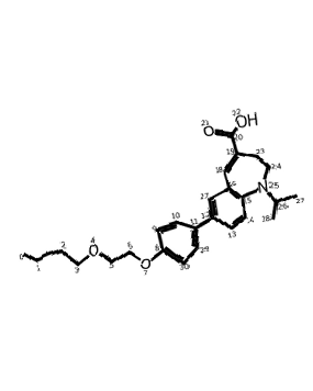 CCCCOCCOc1ccc(-c2ccc3c(c2)C=C(C(=O)O)CCN3C(C)C)cc1